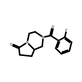 O=C(c1ccccc1F)N1CCN2C(=O)CCC2C1